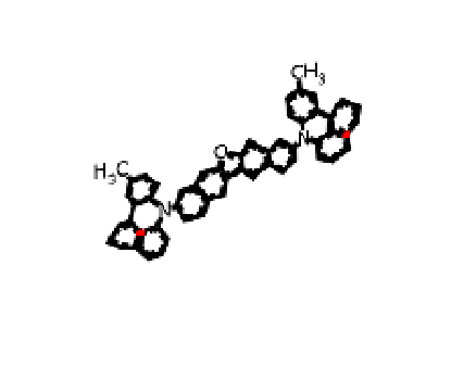 Cc1ccc(N(c2ccccc2)c2ccc3cc4c(cc3c2)oc2cc3cc(N(c5ccccc5)c5ccc(C)cc5-c5ccccc5)ccc3cc24)c(-c2ccccc2)c1